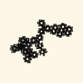 c1ccc(-c2ccc(-n3c4ccc(-c5ccc6c(c5)c5cc(-c7cccc8c(-c9c%10ccccc%10c(-c%10cccc%11ccccc%10%11)c%10ccccc9%10)cccc78)ccc5n6-c5ccccc5)cc4c4ccc(-c5cc(-c6ccc7c(c6)c6ccccc6n7-c6ccccc6)cc6c5oc5cccc(-c7nc(-c8ccccc8)nc(-c8ccccc8)n7)c56)cc43)cc2)cc1